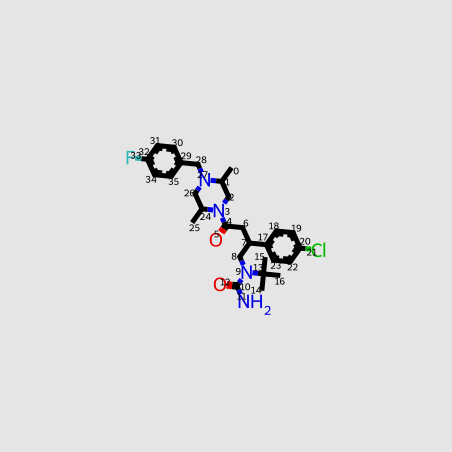 CC1CN(C(=O)CC(CN(C(N)=O)C(C)(C)C)c2ccc(Cl)cc2)C(C)CN1Cc1ccc(F)cc1